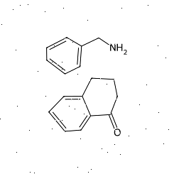 NCc1ccccc1.O=C1CCCc2ccccc21